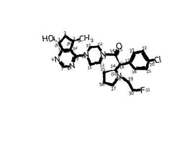 C[C@@H]1C[C@@H](O)c2ncnc(N3CCN(C(=O)[C@@H](c4ccc(Cl)cc4)[C@@H]4CCCN4CCF)CC3)c21